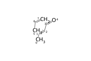 CC=C[C]=O.[CH2]C=C